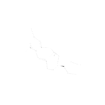 CCC(CO)[C@H]1CCC2=Cc3c(cc(C)oc3=O)O[C@H]2C1